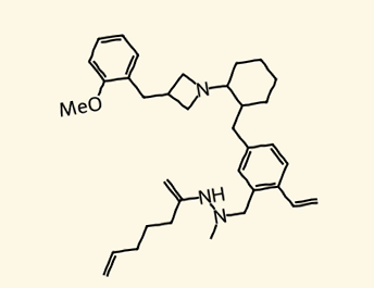 C=CCCCC(=C)NN(C)Cc1cc(CC2CCCCC2N2CC(Cc3ccccc3OC)C2)ccc1C=C